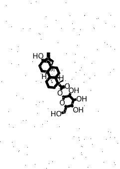 C=C1C[C@@]23CC[C@H]4[C@@](C)(CCC[C@@]4(C)C(=O)OC4OC(CO)C(O)C(O)C4O)[C@@H]2CCC1(O)C3